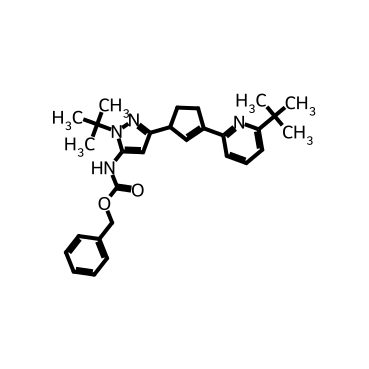 CC(C)(C)c1cccc(C2=CC(c3cc(NC(=O)OCc4ccccc4)n(C(C)(C)C)n3)CC2)n1